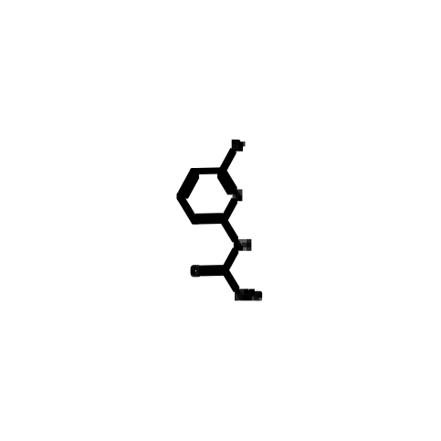 CNC(=O)Nc1cccc(Br)n1